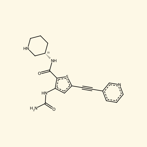 NC(=O)Nc1cc(C#Cc2cccnc2)sc1C(=O)N[C@H]1CCCNC1